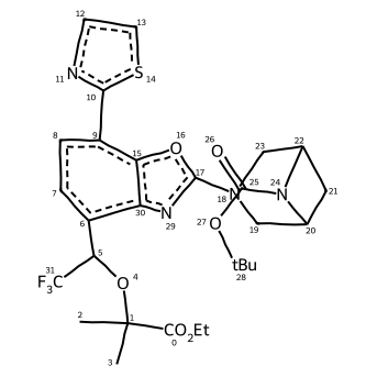 CCOC(=O)C(C)(C)OC(c1ccc(-c2nccs2)c2oc(N3CC4CC(C3)N4C(=O)OC(C)(C)C)nc12)C(F)(F)F